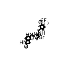 O=C1Cc2cc(Nc3ncc(Br)c(NCc4cccc(OC(F)(F)F)c4)n3)ccc2N1